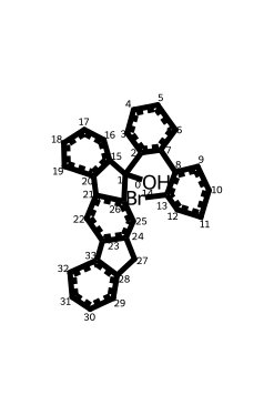 OC1(c2ccccc2-c2ccccc2Br)c2ccccc2-c2cc3c(cc21)Cc1ccccc1-3